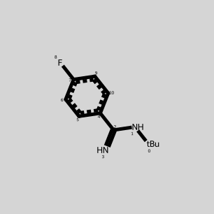 CC(C)(C)NC(=N)c1ccc(F)cc1